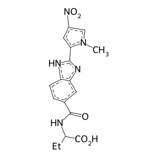 CCC(NC(=O)c1ccc2[nH]c(-c3cc([N+](=O)[O-])cn3C)nc2c1)C(=O)O